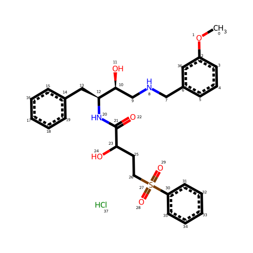 COc1cccc(CNC[C@H](O)[C@H](Cc2ccccc2)NC(=O)C(O)CCS(=O)(=O)c2ccccc2)c1.Cl